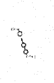 CCCCCC[C@H]1CC[C@H](C#Cc2ccc(-c3ccc(CCCCC)cc3)cc2)CC1